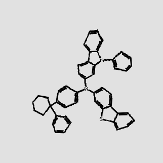 c1ccc(-n2c3ccccc3c3ccc(N(c4ccc(C5(c6ccccc6)CCCCC5)cc4)c4ccc5c(c4)sc4ccccc45)cc32)cc1